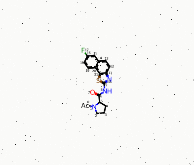 CC(=O)N1CCCC1C(=O)Nc1nc2ccc3cc(F)ccc3c2s1